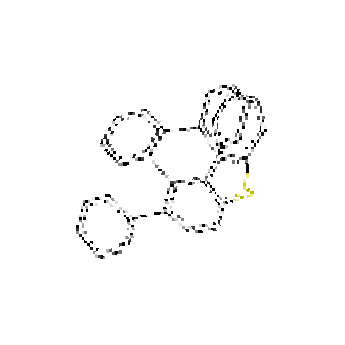 c1ccc(-c2ccccc2-c2c(-c3ccccc3)ccc3sc4ccccc4c23)cc1